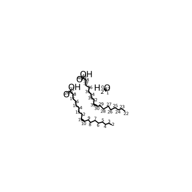 C=C.CCCCCCCC/C=C\CCCCCCCC(=O)O.CCCCCCCC/C=C\CCCCCCCC(=O)O.O